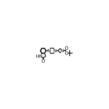 CC(C)(C)OC(=O)N1CC(N2CCN(c3cccc4c3CC(=O)N4)CC2)C1